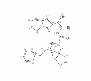 CC[C@H](NC(=O)[C@H](CC1(C)CCCC1)NC(=O)OCc1ccccc1)C(O)c1nc2ccccc2o1